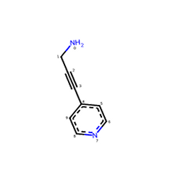 NCC#Cc1ccncc1